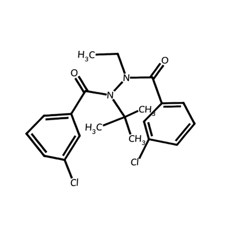 CCN(C(=O)c1cccc(Cl)c1)N(C(=O)c1cccc(Cl)c1)C(C)(C)C